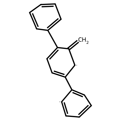 C=C1[CH]C(c2[c]cccc2)=CC=C1c1ccccc1